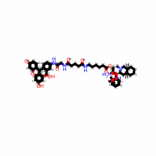 CC(C)(C)NC(=O)[C@@H]1C[C@@H]2CCCC[C@@H]2CN1C[C@@H](OC(=O)CCCCCNC(=O)CCCC(=O)NCC(=O)Nc1ccc(-c2c3ccc(=O)cc-3oc3cc(O)ccc23)c(C(=O)O)c1)[C@@H](N)Cc1ccccc1